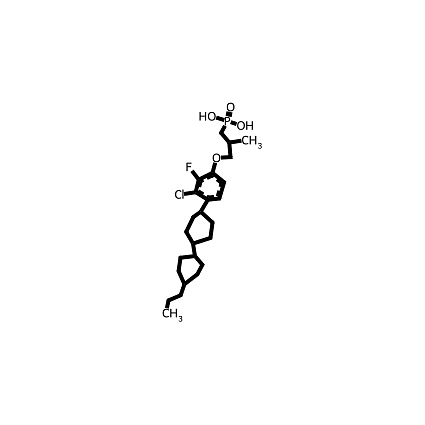 CCCC1CCC(C2CCC(c3ccc(OCC(C)CP(=O)(O)O)c(F)c3Cl)CC2)CC1